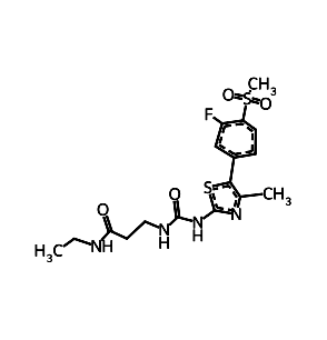 CCNC(=O)CCNC(=O)Nc1nc(C)c(-c2ccc(S(C)(=O)=O)c(F)c2)s1